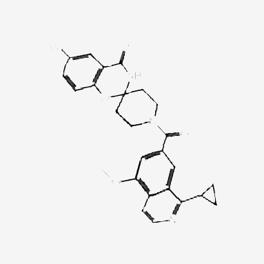 COc1cc(C(=O)N2CCC3(CC2)NC(=O)c2cc(Br)ccc2O3)cc2c(C3CC3)nccc12